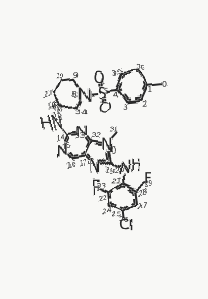 Cc1ccc(S(=O)(=O)N2CCC[C@@H](Nc3ncc4nc(Nc5c(F)cc(Cl)cc5F)n(C)c4n3)C2)cc1